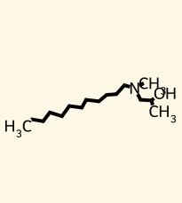 CCCCCCCCCCCCN(C)CC(C)O